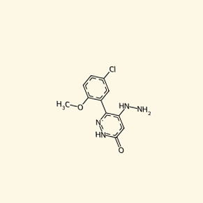 COc1ccc(Cl)cc1-c1n[nH]c(=O)cc1NN